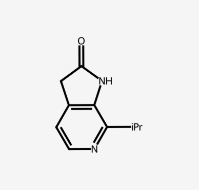 CC(C)c1nccc2c1NC(=O)C2